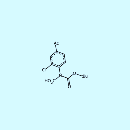 CC(=O)c1ccc(N(C(=O)O)C(=O)OC(C)(C)C)c(Cl)c1